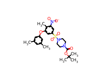 Cc1cc(C)cc(Oc2cc(S(=O)(=O)N3CCN(C(=O)OC(C)(C)C)CC3)cc([N+](=O)[O-])c2C)c1